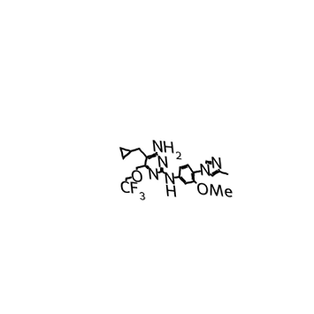 COc1cc(Nc2nc(N)c(CC3CC3)c(COCC(F)(F)F)n2)ccc1-n1cnc(C)c1